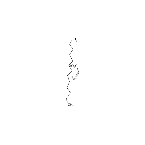 C=CC(=O)O.[CH2]CCCCCCCCCCCC